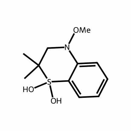 CON1CC(C)(C)S(O)(O)c2ccccc21